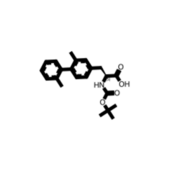 Cc1ccccc1-c1ccc(C[C@H](NC(=O)OC(C)(C)C)C(=O)O)cc1C